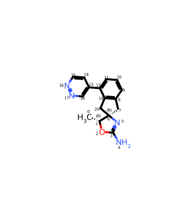 C[C@H]1OC(N)=N[C@@]12Cc1cccc(-c3ccnnc3)c1C2